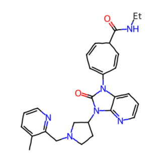 CCNC(=O)C1C=CC=C(n2c(=O)n(C3CCN(Cc4ncccc4C)C3)c3ncccc32)C=C1